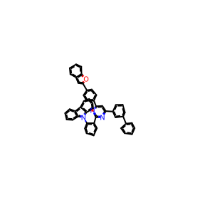 c1ccc(-c2cccc(-c3cc(-c4ccc(-c5cc6ccccc6o5)cc4)nc(-c4ccccc4-n4c5ccccc5c5ccccc54)n3)c2)cc1